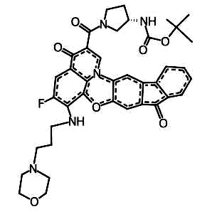 CC(C)(C)OC(=O)N[C@H]1CCN(C(=O)c2cn3c4cc5c(cc4oc4c(NCCCN6CCOCC6)c(F)cc(c2=O)c43)c(=O)c2ccccc25)C1